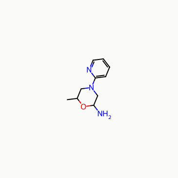 CC1CN(c2ccccn2)CC(N)O1